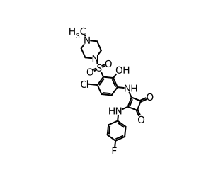 CN1CCN(S(=O)(=O)c2c(Cl)ccc(Nc3c(Nc4ccc(F)cc4)c(=O)c3=O)c2O)CC1